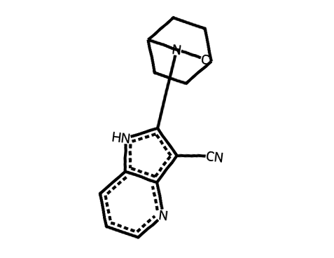 N#Cc1c(N2CC3CCC(CC3)C2)[nH]c2cccnc12